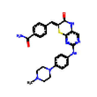 CN1CCN(c2ccc(Nc3ncc4c(n3)SC(=Cc3ccc(C(N)=O)cc3)C(=O)N4)cc2)CC1